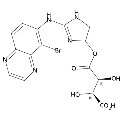 O=C(O)[C@@H](O)[C@H](O)C(=O)OC1CNC(Nc2ccc3nccnc3c2Br)=N1